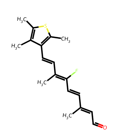 CC(/C=C/c1c(C)sc(C)c1C)=C(F)\C=C\C(C)=C\C=O